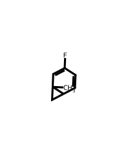 CC12C=C(F)C=CC1C2